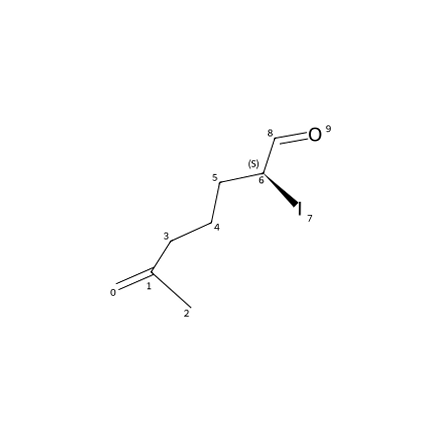 C=C(C)CCC[C@H](I)C=O